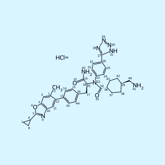 Cc1cc2oc(C3CC3)nc2cc1-c1ccc(C[C@@H](C(N)=O)N(c2ccc(-c3nnn[nH]3)cc2)C(=O)[C@H]2CC[C@H](CN)CC2)cc1.Cl